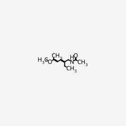 CC/C(=C\C=C(/C)OC)CNC(C)=O